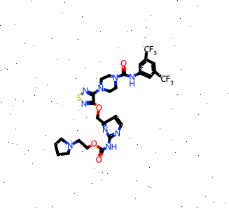 O=C(Nc1nccc(COc2nsnc2N2CCN(C(=O)Nc3cc(C(F)(F)F)cc(C(F)(F)F)c3)CC2)n1)OCCN1CCCC1